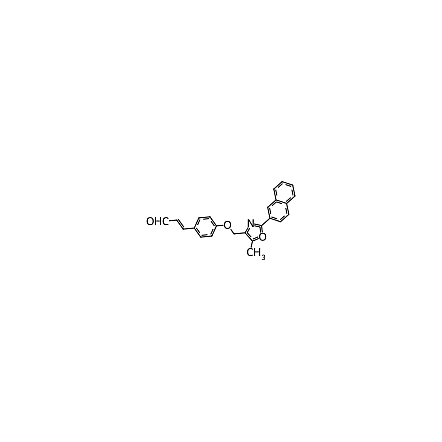 Cc1oc(-c2ccc3ccccc3c2)nc1COc1ccc(C=CC=O)cc1